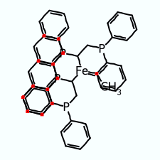 C[CH]=[Fe]([CH](CP(c1ccccc1)c1ccccc1)P(c1ccccc1)c1ccccc1)[CH](CP(c1ccccc1)c1ccccc1)P(c1ccccc1)c1ccccc1